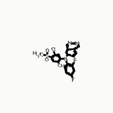 Cc1cc(S(C)(=O)=O)c(Cl)cc1N(c1ccc2cnncc2c1)c1ccc(F)cc1F